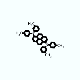 Cc1ccc(N(C2=CCc3ccc4c(N(c5ccc(C)cc5)c5cccc(C)c5)ccc5c4c3C2=CC5)c2cccc(C)c2)cc1